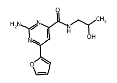 CC(O)CNC(=O)c1cc(-c2ccco2)nc(N)n1